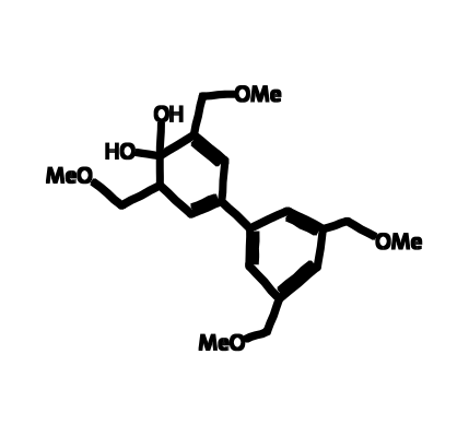 COCC1=CC(c2cc(COC)cc(COC)c2)=CC(COC)C1(O)O